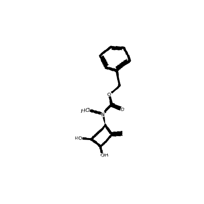 C=C1C(O)C(O)[C@H]1N(O)C(=O)OCc1ccccc1